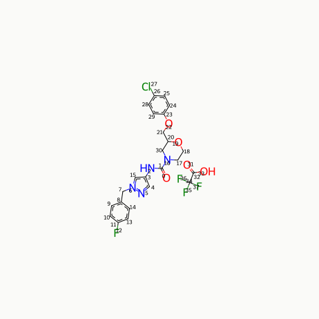 O=C(Nc1cnn(Cc2ccc(F)cc2)c1)N1CCOC(COc2ccc(Cl)cc2)C1.O=C(O)C(F)(F)F